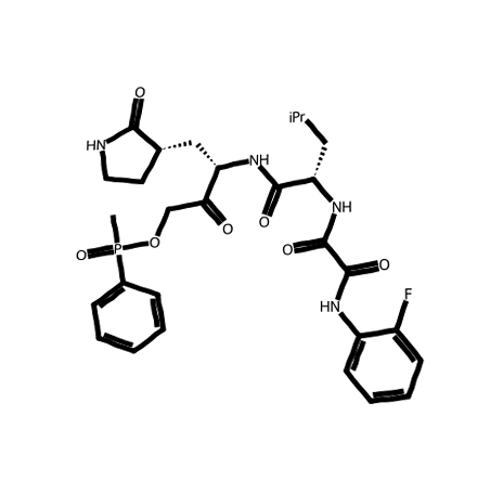 CC(C)C[C@H](NC(=O)C(=O)Nc1ccccc1F)C(=O)N[C@@H](C[C@@H]1CCNC1=O)C(=O)COP(C)(=O)c1ccccc1